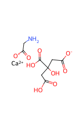 NCC(=O)[O-].O=C([O-])CC(O)(CC(=O)O)C(=O)O.[Ca+2]